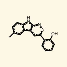 Cc1ccc2[nH]c3nnc(-c4ccccc4O)cc3c2c1